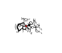 CC(C)(C)OC(=O)N1CC2CCC(C1)C2CN.Cl